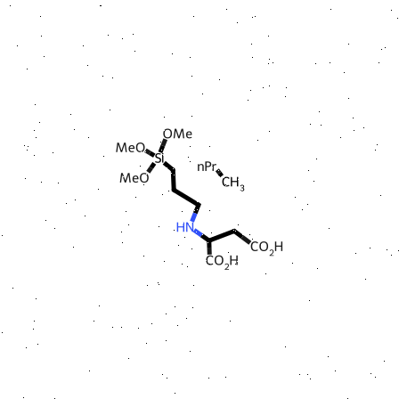 CCCC.CO[Si](CCCNC(CC(=O)O)C(=O)O)(OC)OC